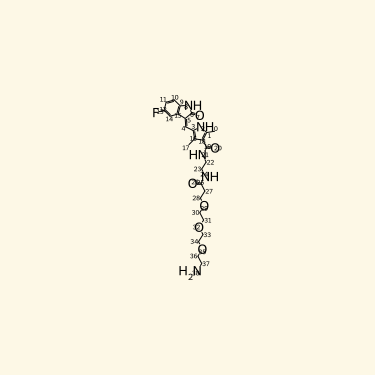 Cc1[nH]c(/C=C2\C(=O)Nc3ccc(F)cc32)c(C)c1C(=O)NCCNC(=O)CCOCCOCCOCCN